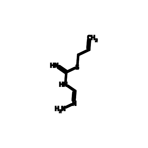 C=CCSC(=N)N/C=N\N